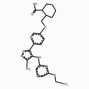 CCOc1cncc(Nc2c(C)noc2-c2ccc(OCC3CCCCC3C(=O)O)cn2)n1